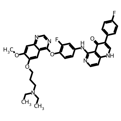 CCN(CC)CCCOc1cc2c(Oc3ccc(Nc4nccc5[nH]cc(-c6ccc(F)cc6)c(=O)c45)cc3F)ncnc2cc1OC